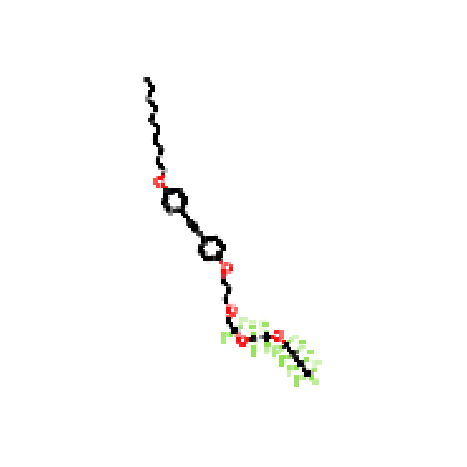 CCCCCCCCCCOc1ccc(C#Cc2ccc(OCCCOCC(F)(F)OC(F)(F)C(F)(F)OC(F)(F)C(F)(F)C(F)(F)C(F)(F)F)cc2)cc1